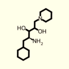 N[C@@H](CC1CCCCC1)C(O)C(O)CN1CCCCC1